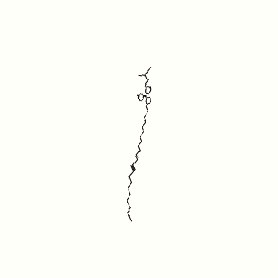 CCCCCCCCC=CCCCCCCCCCCCCOC(=O)OCCC(C)C